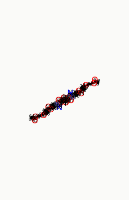 C=C(C)C(=O)OCCCCOc1ccc(C(=O)Oc2ccc(/C=C(\C#N)C(=O)O[C@H]3CO[C@H]4[C@@H]3OC[C@H]4OC(=O)/C(C#N)=C/c3ccc(OC(=O)c4ccc(OCCCCOC(=O)C(=C)C)cc4)cc3)cc2)cc1